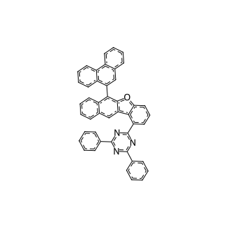 c1ccc(-c2nc(-c3ccccc3)nc(-c3cccc4oc5c(-c6cc7ccccc7c7ccccc67)c6ccccc6cc5c34)n2)cc1